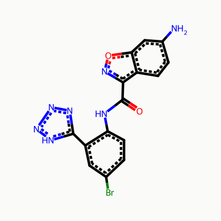 Nc1ccc2c(C(=O)Nc3ccc(Br)cc3-c3nnn[nH]3)noc2c1